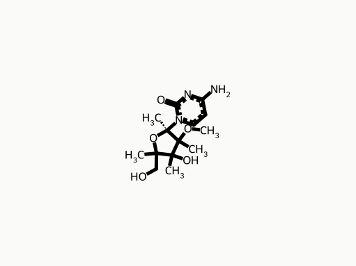 COC1(C)C(C)(O)C(C)(CO)O[C@@]1(C)n1ccc(N)nc1=O